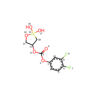 O=C(Oc1ccc(F)c(F)c1)OC1COS(O)(O)C1